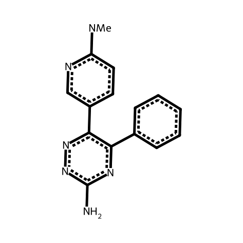 CNc1ccc(-c2nnc(N)nc2-c2ccccc2)cn1